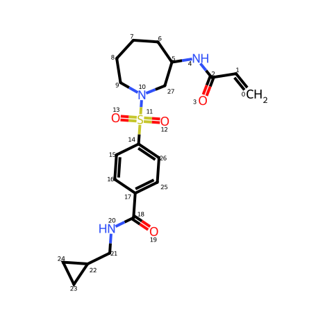 C=CC(=O)NC1CCCCN(S(=O)(=O)c2ccc(C(=O)NCC3CC3)cc2)C1